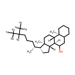 [2H]C([2H])([2H])C([2H])(CCC[C@@H](C)[C@H]1CC[C@H]2[C@@H]3C(O)CC4CCCC[C@]4(C)[C@H]3CC[C@]12C)C([2H])([2H])[2H]